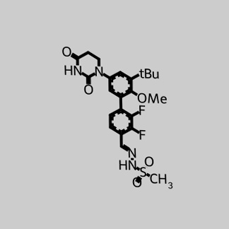 COc1c(-c2ccc(/C=N/NS(C)(=O)=O)c(F)c2F)cc(N2CCC(=O)NC2=O)cc1C(C)(C)C